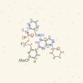 COc1cc(CC(F)(F)F)c(-c2nc(NCc3nccnc3N(C)S(C)(=O)=O)c3cnn(C4CCCCO4)c3n2)cc1F